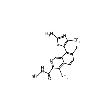 CCCNC(=O)c1ncc2c(-c3sc(N)nc3C(F)(F)F)c(F)ccc2c1N